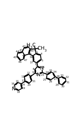 CC1(C)c2ccc(-c3cc(-c4ccc(-c5ccncc5)cc4)nc(-c4ccc(-c5ccccc5)cc4)n3)cc2-c2c1ccc1ccccc21